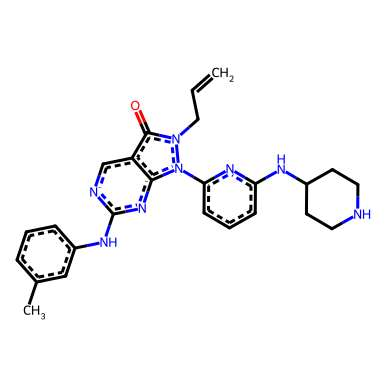 C=CCn1c(=O)c2cnc(Nc3cccc(C)c3)nc2n1-c1cccc(NC2CCNCC2)n1